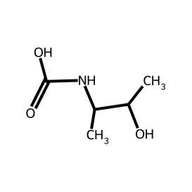 CC(O)C(C)NC(=O)O